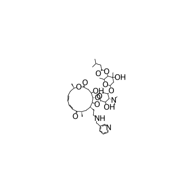 CO[C@@H]1[C@@H](O[C@@H]2O[C@H](C)[C@@H](OC3CC(C)(O)C(OC(=O)CC(C)C)C(C)O3)[C@H](N(C)C)[C@H]2O)[C@@H](CCNCc2cccnc2)C[C@@H](C)C(=O)C=CC=CC[C@@H](C)OC(=O)C[C@H]1O